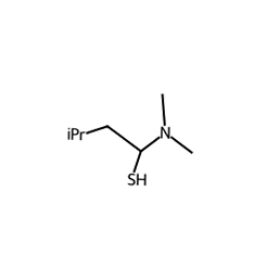 CC(C)CC(S)N(C)C